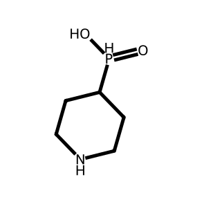 O=[PH](O)C1CCNCC1